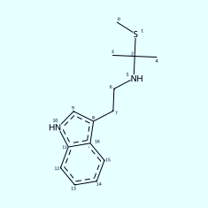 CSC(C)(C)NCCc1c[nH]c2ccccc12